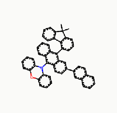 CC1(C)c2ccccc2-c2c(-c3c4ccccc4c(N4c5ccccc5Oc5ccccc54)c4ccc(-c5ccc6ccccc6c5)cc34)cccc21